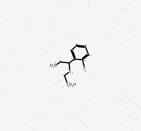 O=C(O)CSC(C[N+](=O)[O-])c1ccccc1F